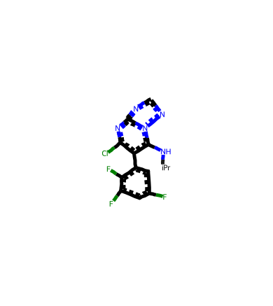 CC(C)Nc1c(-c2cc(F)cc(F)c2F)c(Cl)nc2ncnn12